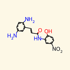 Nc1ccc(N)c(C=CC(=O)Nc2cc([N+](=O)[O-])ccc2O)c1